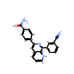 N#Cc1cccc(-c2nc(-c3ccc(C(N)=O)cc3)cc3cccnc23)c1